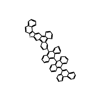 c1ccc2c(c1)cc(-c1c3ccccc3c(-c3c4ccccc4c(-c4ccc5c(c4)c4ccccc4c4cc6c(cc54)sc4ccc5ccccc5c46)c4ccccc34)c3ccccc13)c1ccccc12